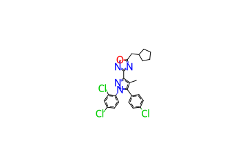 Cc1c(-c2noc(CC3CCCC3)n2)nn(-c2ccc(Cl)cc2Cl)c1-c1ccc(Cl)cc1